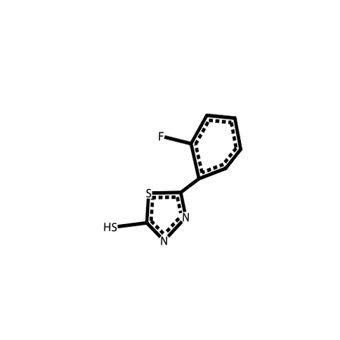 Fc1ccccc1-c1nnc(S)s1